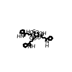 CC1OC(O)C(OC(=O)CCc2c[nH]c3ccccc23)C(OC(=O)CCc2c[nH]c3ccccc23)C1OC(=O)CCc1c[nH]c2ccccc12